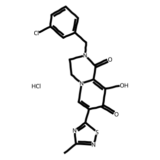 Cc1nsc(-c2cn3c(c(O)c2=O)C(=O)N(Cc2cccc(Cl)c2)CC3)n1.Cl